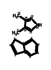 C1=Cc2ccccc2C1.Cc1c[nH]nc1C